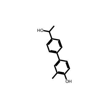 Cc1cc(-c2ccc(C(C)O)cc2)ccc1O